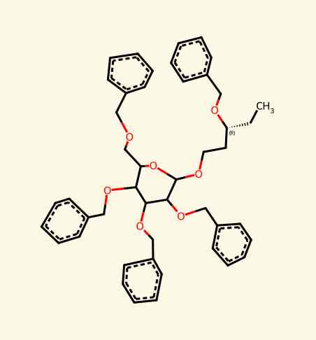 CC[C@H](CCOC1OC(COCc2ccccc2)C(OCc2ccccc2)C(OCc2ccccc2)C1OCc1ccccc1)OCc1ccccc1